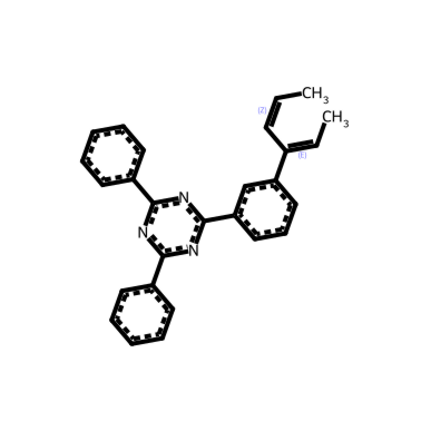 C/C=C\C(=C/C)c1cccc(-c2nc(-c3ccccc3)nc(-c3ccccc3)n2)c1